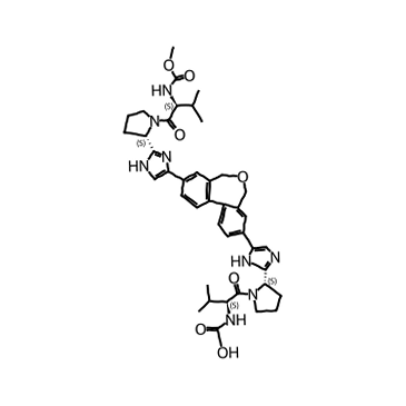 COC(=O)N[C@H](C(=O)N1CCC[C@H]1c1nc(-c2ccc3c(c2)COCc2cc(-c4cnc([C@@H]5CCCN5C(=O)[C@@H](NC(=O)O)C(C)C)[nH]4)ccc2-3)c[nH]1)C(C)C